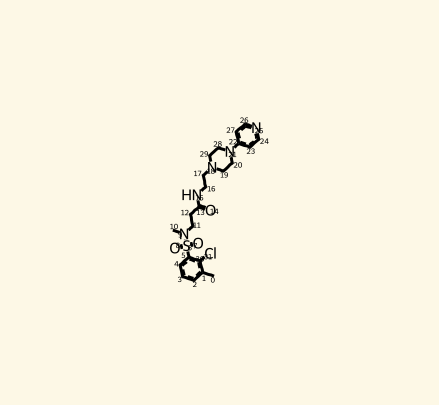 Cc1cccc(S(=O)(=O)N(C)CCC(=O)NCCN2CCN(c3ccncc3)CC2)c1Cl